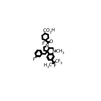 CN1CC2N(C(=O)[C@]3(F)CC[C@@H](C(=O)O)CC3)CCC2(Cc2cccc(F)c2)c2ccc(C(C)(F)C(F)(F)F)cc21